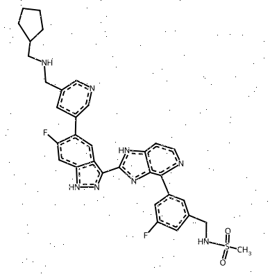 CS(=O)(=O)NCc1cc(F)cc(-c2nccc3[nH]c(-c4n[nH]c5cc(F)c(-c6cncc(CNCC7CCCC7)c6)cc45)nc23)c1